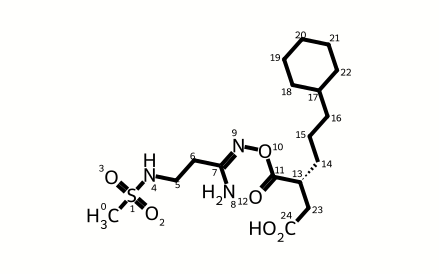 CS(=O)(=O)NCC/C(N)=N/OC(=O)[C@H](CCCC1CCCCC1)CC(=O)O